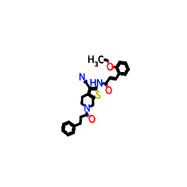 CCOc1ccccc1/C=C/C(=O)Nc1sc2c(c1C#N)CCN(C(=O)CCc1ccccc1)C2